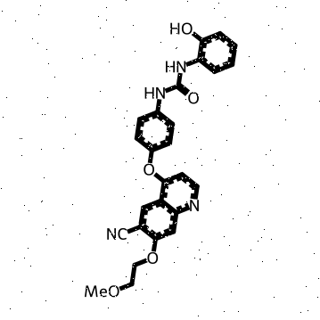 COCCOc1cc2nccc(Oc3ccc(NC(=O)Nc4ccccc4O)cc3)c2cc1C#N